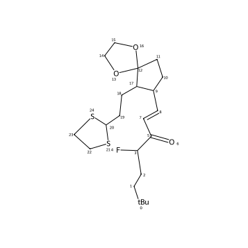 CC(C)(C)CCC(F)C(=O)C=CC1CCC2(OCCO2)C1CCC1SCCS1